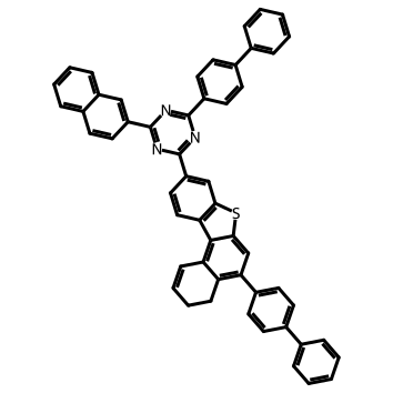 C1=Cc2c(c(-c3ccc(-c4ccccc4)cc3)cc3sc4cc(-c5nc(-c6ccc(-c7ccccc7)cc6)nc(-c6ccc7ccccc7c6)n5)ccc4c23)CC1